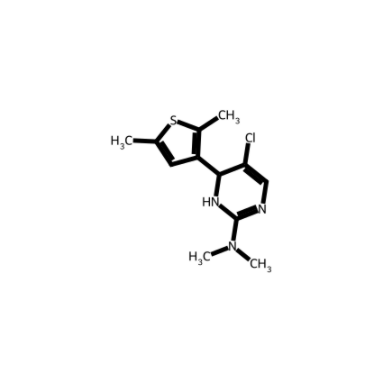 Cc1cc(C2NC(N(C)C)=NC=C2Cl)c(C)s1